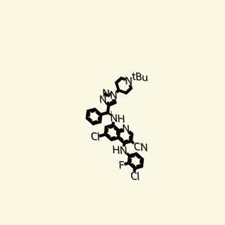 CC(C)(C)N1CCC(n2cc([C@@H](Nc3cc(Cl)cc4c(Nc5cccc(Cl)c5F)c(C#N)cnc34)c3ccccc3)nn2)CC1